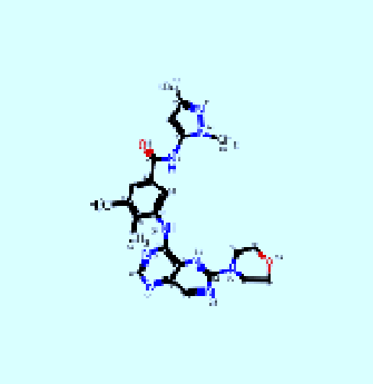 Cc1cc(C(=O)Nc2cc(C(C)(C)C)nn2C)cc(Nc2ncnc3cnc(N4CCOCC4)nc23)c1C